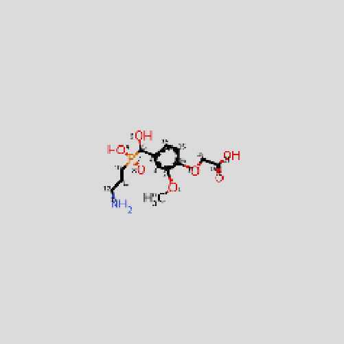 COc1cc(C(O)P(=O)(O)CCCN)ccc1OCC(=O)O